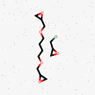 C(CCOCC1CO1)COCC1CO1.ClCC1CO1